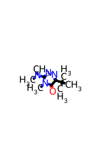 CN(C)c1nnc(C(C)(C)C)c(=O)n1C